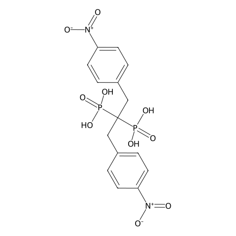 O=[N+]([O-])c1ccc(CC(Cc2ccc([N+](=O)[O-])cc2)(P(=O)(O)O)P(=O)(O)O)cc1